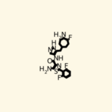 Nc1sc(-c2c(F)cccc2F)nc1C(=O)Nc1cn[nH]c1CC1CC[C@@H](N)[C@@H](F)CC1